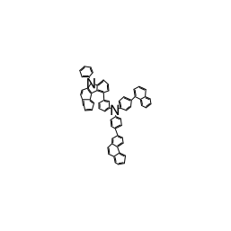 c1ccc(-n2c3cccc(-c4cccc(N(c5ccc(-c6ccc7c(ccc8ccccc87)c6)cc5)c5ccc(-c6cccc7ccccc67)cc5)c4)c3c3c4ccccc4ccc32)cc1